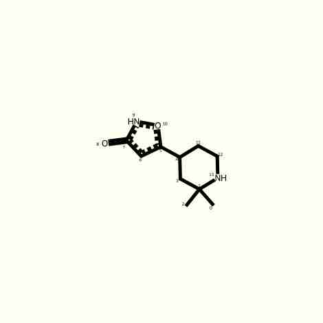 CC1(C)CC(c2cc(=O)[nH]o2)CCN1